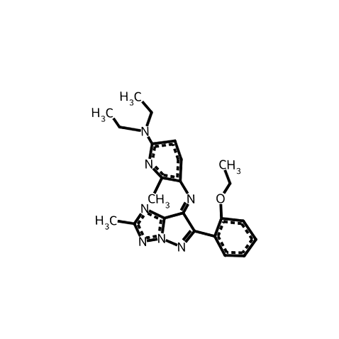 CCOc1ccccc1C1=Nn2nc(C)nc2/C1=N\c1ccc(N(CC)CC)nc1C